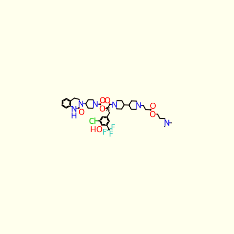 CN(C)CCCOC(=O)CCN1CCC(C2CCN(C(=O)[C@@H](Cc3cc(Cl)c(O)c(C(F)(F)F)c3)OC(=O)N3CCC(N4CCc5ccccc5NC4=O)CC3)CC2)CC1